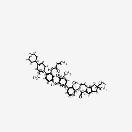 C=CC(=O)Nc1cc(Nc2nc(-c3ccnc(N4CCn5c(cc6c5CC(C)(C)C6)C4=O)c3C)cn(C)c2=O)ccc1N1CCN(C2CCOCC2)C[C@@H]1C